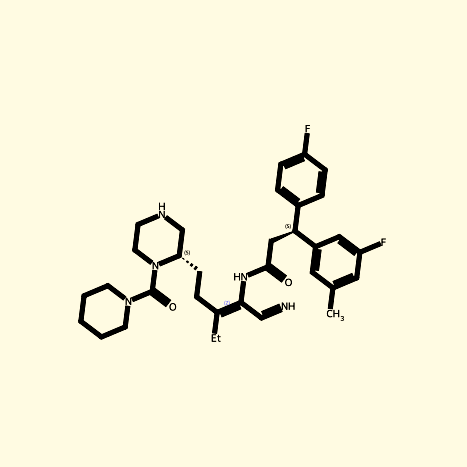 CC/C(CC[C@H]1CNCCN1C(=O)N1CCCCC1)=C(\C=N)NC(=O)C[C@@H](c1ccc(F)cc1)c1cc(C)cc(F)c1